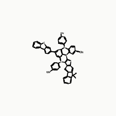 CC(C)(C)c1ccc(N2c3ccc(C(C)(C)C)cc3B3c4sc5cc6c(cc5c4N(c4ccc(C(C)(C)C)cc4)c4cc(-c5ccc7c(c5)sc5ccccc57)cc2c43)-c2ccccc2C6(C)C)cc1